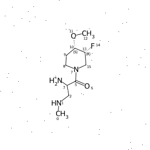 CNCC(N)C(=O)N1CC[C@H](OC)[C@H](F)C1